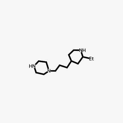 CCC1CC(CCCN2CCNCC2)CCN1